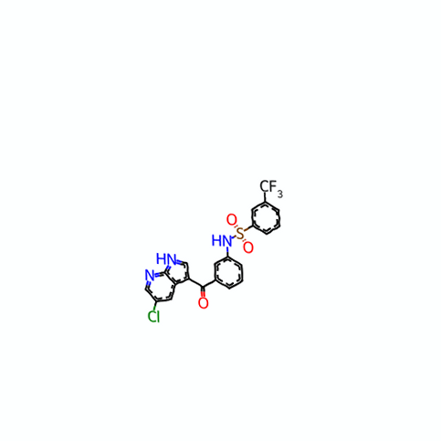 O=C(c1cccc(NS(=O)(=O)c2cccc(C(F)(F)F)c2)c1)c1c[nH]c2ncc(Cl)cc12